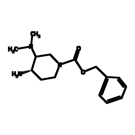 CN(C)C1CN(C(=O)OCc2ccccc2)CC[C@@H]1N